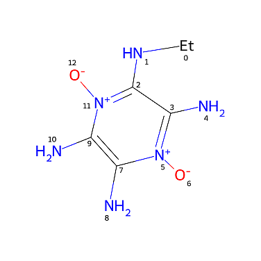 CCNc1c(N)[n+]([O-])c(N)c(N)[n+]1[O-]